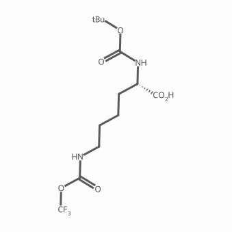 CC(C)(C)OC(=O)N[C@@H](CCCCNC(=O)OC(F)(F)F)C(=O)O